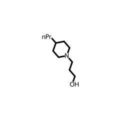 [CH2]CCC1CCN(CCCO)CC1